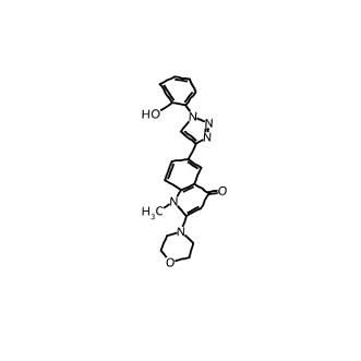 Cn1c(N2CCOCC2)cc(=O)c2cc(-c3cn(-c4ccccc4O)nn3)ccc21